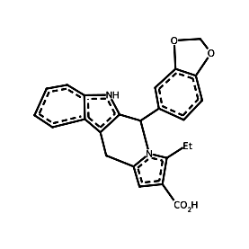 CCc1c(C(=O)O)cc2n1C(c1ccc3c(c1)OCO3)c1[nH]c3ccccc3c1C2